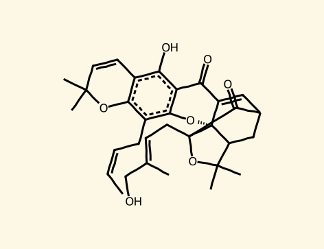 C/C=C\Cc1c2c(c(O)c3c1O[C@]14C(=CC5CC1C(C)(C)OC4(C/C=C(\C)CO)C5=O)C3=O)C=CC(C)(C)O2